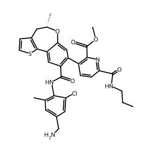 CCCNC(=O)c1ccc(-c2cc3c(cc2C(=O)Nc2c(C)cc(CN)cc2Cl)-c2sccc2C[C@H](C)O3)c(C(=O)OC)n1